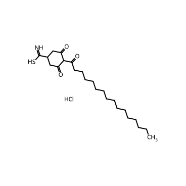 CCCCCCCCCCCCCCCC(=O)C1C(=O)CC(C(=N)S)CC1=O.Cl